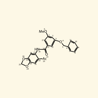 COc1cc(OCc2ccccc2)cc(C(=O)Nc2cc3c(cc2C(C)=O)OCO3)c1